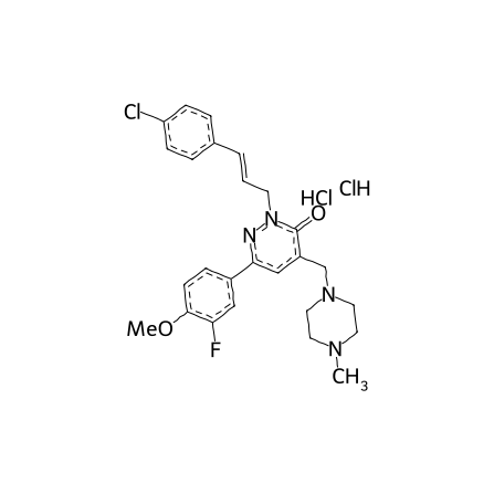 COc1ccc(-c2cc(CN3CCN(C)CC3)c(=O)n(CC=Cc3ccc(Cl)cc3)n2)cc1F.Cl.Cl